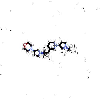 CC(C)(C)N1CC[C@@H](N2CCCC(CC(C)(C)N3CC[C@@H](N4CCOCC4)C3)C2)C1